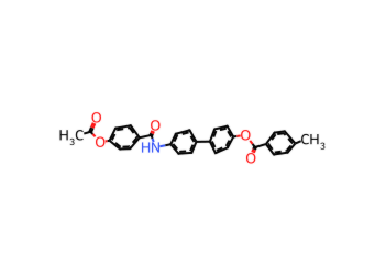 CC(=O)Oc1ccc(C(=O)Nc2ccc(-c3ccc(OC(=O)c4ccc(C)cc4)cc3)cc2)cc1